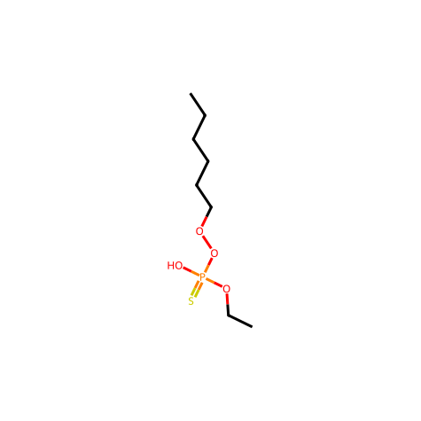 CCCCCCOOP(O)(=S)OCC